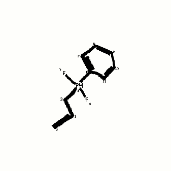 C=CC[PH](F)(F)c1ccccc1